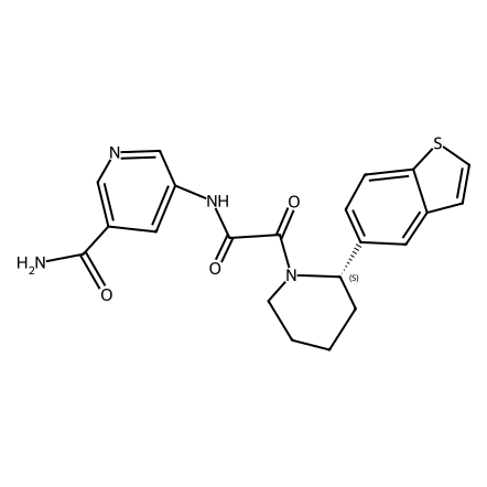 NC(=O)c1cncc(NC(=O)C(=O)N2CCCC[C@H]2c2ccc3sccc3c2)c1